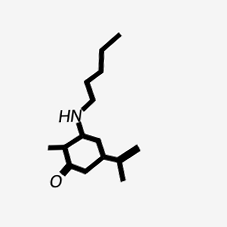 C=C(C)C1CC(=O)C(C)C(NCCCCC)C1